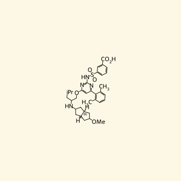 COC1C[C@H]2CC(NC(COc3cc(-c4c(C)cccc4C)nc(NS(=O)(=O)c4cccc(C(=O)O)c4)n3)CC(C)C)C[C@H]2C1